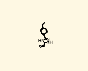 CCc1ccc(C2=NNC(C=S)N2)cc1